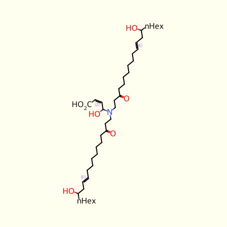 CCCCCCC(O)C/C=C/CCCCCCCC(=O)CCN(CCC(=O)CCCCCCC/C=C/CC(O)CCCCCC)C(O)/C=C\C(=O)O